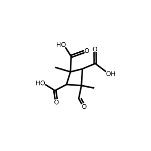 CC1(C=O)C(C(=O)O)C(C)(C(=O)O)C1C(=O)O